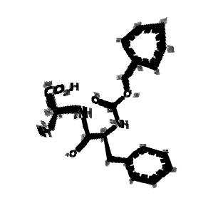 CC(C)[C@H](NC(=O)[C@H](Cc1ccccc1)NC(=O)OCc1ccccc1)C(=O)O